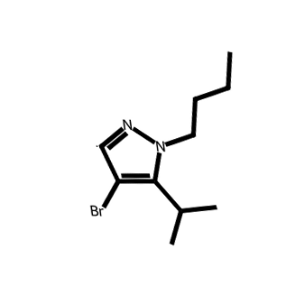 CCCCn1n[c]c(Br)c1C(C)C